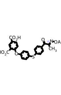 CC(=O)O/N=C(\C)C(=O)c1ccc(Sc2ccc(Oc3ccc(C(=O)O)cc3C(=O)O)cc2)cc1